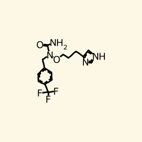 NC(=O)N(Cc1ccc(C(F)(F)F)cc1)OCCCc1c[nH]cn1